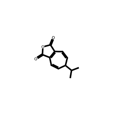 CC(C)C1C=CC2=C(C=C1)C(=O)OC2=O